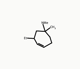 CCC1C=CCCC(C)(NC)C1